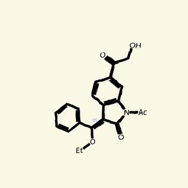 CCO/C(=C1\C(=O)N(C(C)=O)c2cc(C(=O)CO)ccc21)c1ccccc1